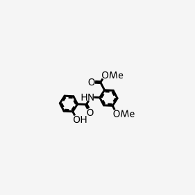 COC(=O)c1ccc(OC)cc1NC(=O)c1ccccc1O